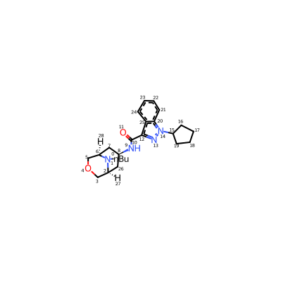 CCCCN1[C@@H]2COC[C@H]1C[C@@H](NC(=O)c1nn(C3CCCC3)c3ccccc13)C2